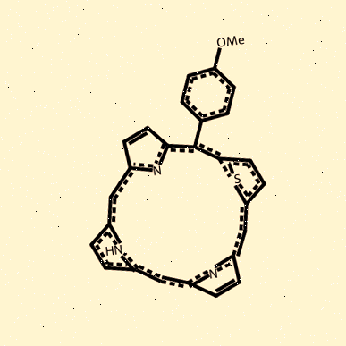 COc1ccc(-c2c3nc(cc4ccc(cc5nc(cc6ccc2s6)C=C5)[nH]4)C=C3)cc1